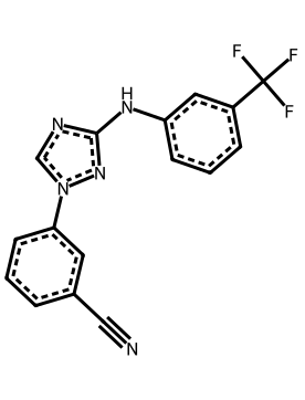 N#Cc1cccc(-n2cnc(Nc3cccc(C(F)(F)F)c3)n2)c1